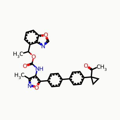 CC(=O)C1(c2ccc(-c3ccc(-c4onc(C)c4NC(=O)OC(C)c4cccc5ocnc45)cc3)cc2)CC1